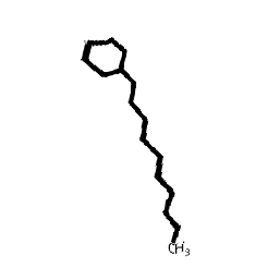 CCCCCCCCCCC1CC[CH]CC1